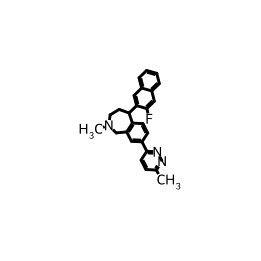 Cc1ccc(-c2ccc3c(c2)CN(C)CCC3c2cc3ccccc3cc2F)nn1